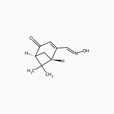 CC1(C)[C@@H]2C[C@@H]1C(C=NO)=CC2=O